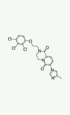 Cc1cn(-c2ccc3n(c2=O)CCN(CCOc2ccc(Cl)c(Cl)c2Cl)C3=O)cn1